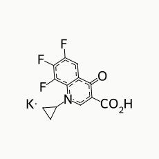 O=C(O)c1cn(C2CC2)c2c(F)c(F)c(F)cc2c1=O.[K]